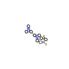 Cc1cccc(-n2c3ccccc3c3cc(-c4ccc5c(c4)c4ccccc4n5-c4ccccc4)ccc32)c1-c1ccc2sc3ccccc3c2c1